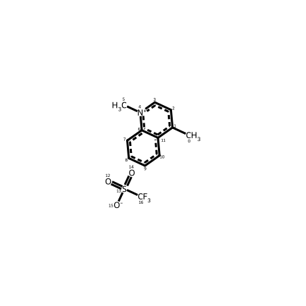 Cc1cc[n+](C)c2ccccc12.O=S(=O)([O-])C(F)(F)F